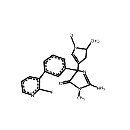 CCN1C=C(C2(c3cccc(-c4cccnc4F)c3)N=C(N)N(C)C2=O)CC1C=O